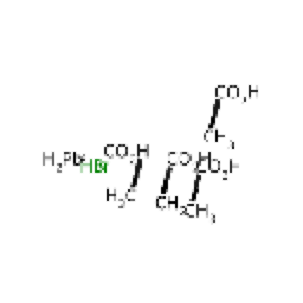 Br.CC(=O)O.CC(=O)O.CC(=O)O.CC(=O)O.[PbH2]